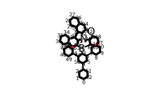 c1ccc(-c2cc(-c3ccccc3)c(B3c4cccc5c4-n4c6c(cc7ccccc7c6c6c7ccccc7cc3c64)O5)c(-c3ccccc3)c2)cc1